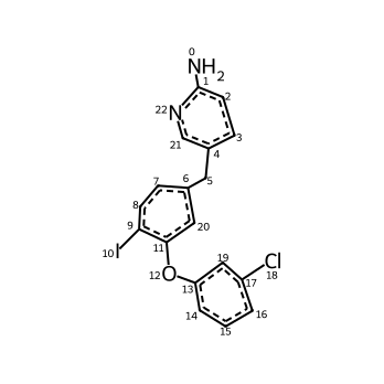 Nc1ccc(Cc2ccc(I)c(Oc3cccc(Cl)c3)c2)cn1